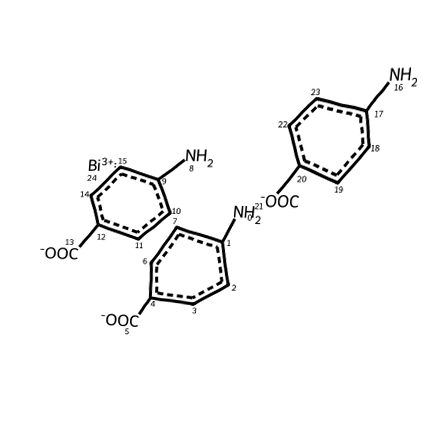 Nc1ccc(C(=O)[O-])cc1.Nc1ccc(C(=O)[O-])cc1.Nc1ccc(C(=O)[O-])cc1.[Bi+3]